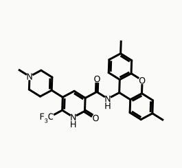 Cc1ccc2c(c1)Oc1cc(C)ccc1C2NC(=O)c1cc(C2=CCN(C)CC2)c(C(F)(F)F)[nH]c1=O